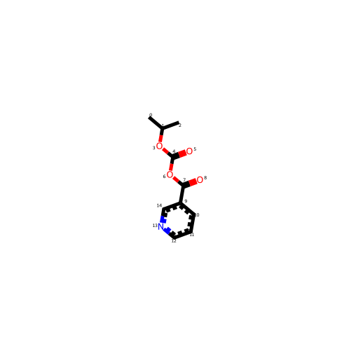 CC(C)OC(=O)OC(=O)c1cccnc1